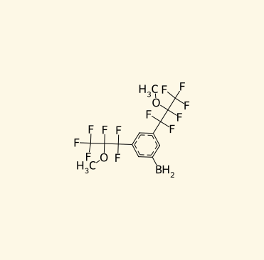 Bc1cc(C(F)(F)C(F)(OC)C(F)(F)F)cc(C(F)(F)C(F)(OC)C(F)(F)F)c1